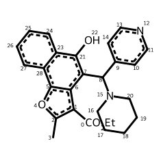 CCOC(=O)c1c(C)oc2c1c(C(c1ccncc1)N1CCCCC1)c(O)c1ccccc12